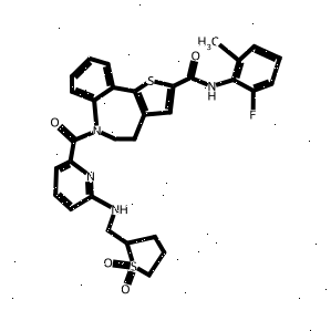 Cc1cccc(F)c1NC(=O)c1cc2c(s1)-c1ccccc1N(C(=O)c1cccc(NCC3CCCS3(=O)=O)n1)CC2